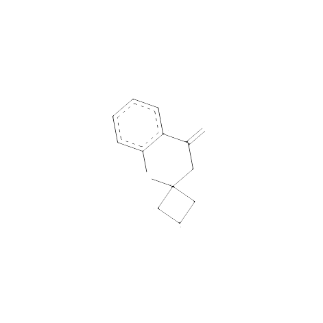 O=C1CC2(CCC2)Sc2ccccc21